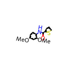 COc1ccc(NC(=O)c2cccs2)c(OC)c1